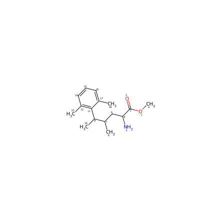 COC(=O)C(N)CC(C)C(C)c1c(C)cccc1C